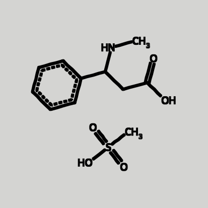 CNC(CC(=O)O)c1ccccc1.CS(=O)(=O)O